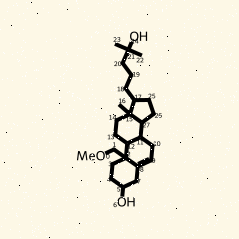 COCC12CCC(O)CC1=CCC1C2CCC2(C)C(CCCC(C)(C)O)CCC12